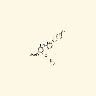 COc1ccc(Nc2nccc(NCC3CCN(C(C)=O)CC3)n2)cc1COCCN1CCCC1